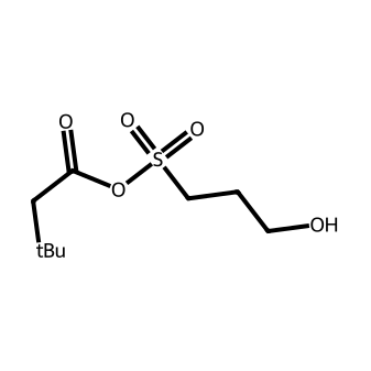 CC(C)(C)CC(=O)OS(=O)(=O)CCCO